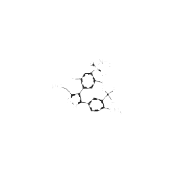 Cc1ccc(-c2noc(CO)c2-c2cc(F)c(S(N)(=O)=O)cc2F)cc1C(F)(F)F